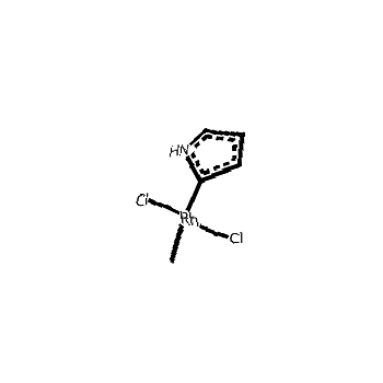 [CH3][Rh]([Cl])([Cl])[c]1ccc[nH]1